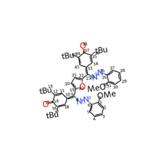 COc1ccccc1/N=N/C(=C1C=C(C(C)(C)C)C(=O)C(C(C)(C)C)=C1)c1ccc(C(/N=N/c2ccccc2OC)=C2C=C(C(C)(C)C)C(=O)C(C(C)(C)C)=C2)o1